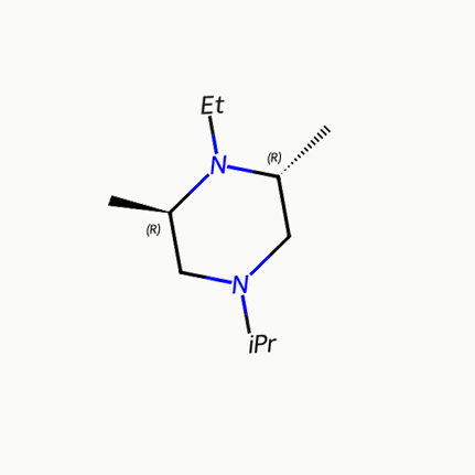 CCN1[C@H](C)CN(C(C)C)C[C@H]1C